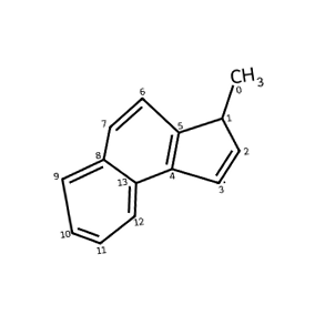 CC1C=[C]c2c1ccc1ccccc21